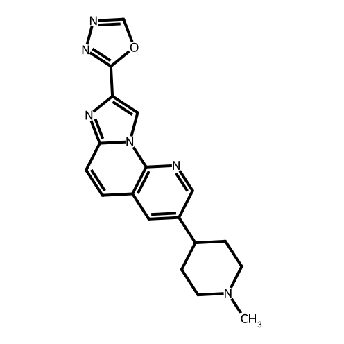 CN1CCC(c2cnc3c(ccc4nc(-c5nnco5)cn43)c2)CC1